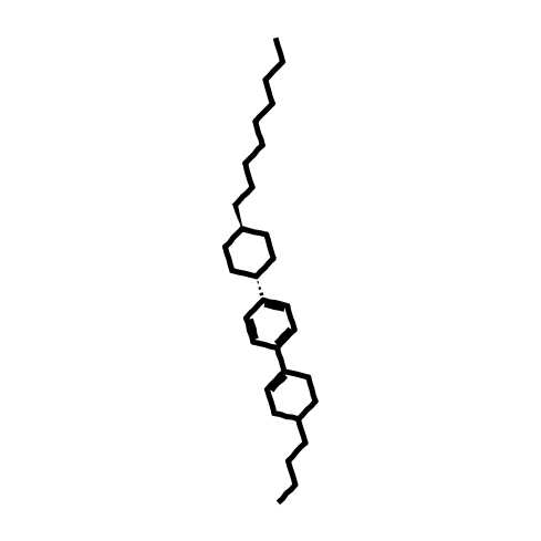 CCCCCCCCC[C@H]1CC[C@H](c2ccc(C3=CCC(CCCC)CC3)cc2)CC1